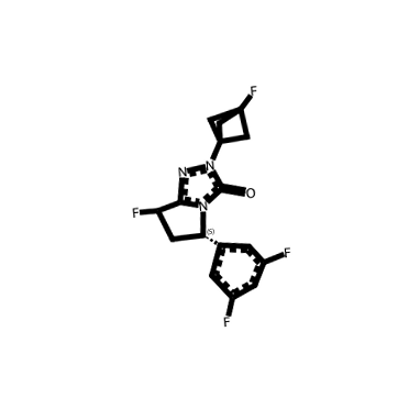 O=c1n(C23CC(F)(C2)C3)nc2n1[C@H](c1cc(F)cc(F)c1)CC2F